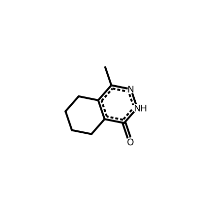 Cc1n[nH]c(=O)c2c1CCCC2